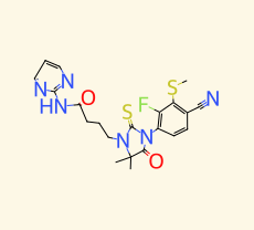 CSc1c(C#N)ccc(N2C(=O)C(C)(C)N(CCCC(=O)Nc3ncccn3)C2=S)c1F